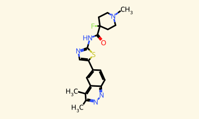 Cc1nnc2ccc(-c3cnc(NC(=O)C4(F)CCN(C)CC4)s3)cc2c1C